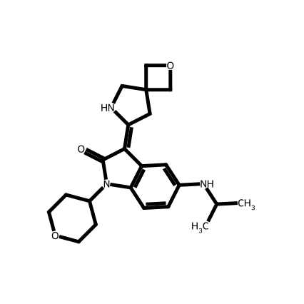 CC(C)Nc1ccc2c(c1)/C(=C1\CC3(CN1)COC3)C(=O)N2C1CCOCC1